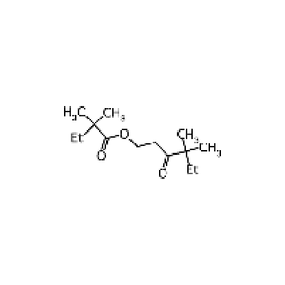 CCC(C)(C)C(=O)CCOC(=O)C(C)(C)CC